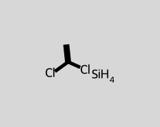 C=C(Cl)Cl.[SiH4]